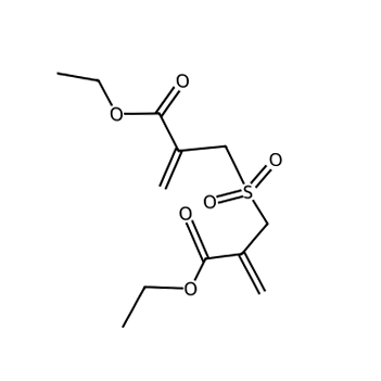 C=C(CS(=O)(=O)CC(=C)C(=O)OCC)C(=O)OCC